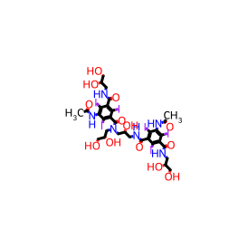 CC(=O)Nc1c(I)c(C(=O)NCC(O)CO)c(I)c(C(=O)NCC(O)CN(CC(O)CO)C(=O)c2c(I)c(NC(C)=O)c(I)c(C(=O)NCC(O)CO)c2I)c1I